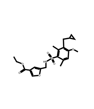 CCOC(=O)c1coc(CNS(=O)(=O)c2c(C)cc(OC)c(CC3CC3)c2C)c1